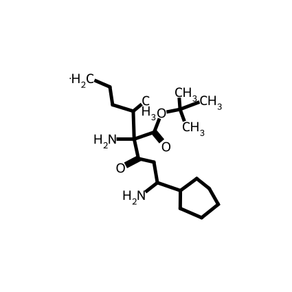 [CH2]CCC(C)C(N)(C(=O)CC(N)C1CCCCC1)C(=O)OC(C)(C)C